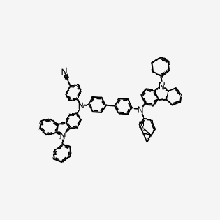 N#Cc1ccc(N(c2ccc(-c3ccc(N(C4=CC5CC5(C#N)C=C4)c4ccc5c(c4)C4C=CC=CC4N5C4=CC=CCC4)cc3)cc2)c2ccc3c(c2)c2ccccc2n3-c2ccccc2)cc1